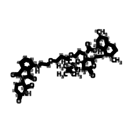 C[C@H]1C=C2C=C[C@H](C)[C@H](CC[C@@H]3C[C@@H](O[Si](C)(C)C(C)(C)C)CC(=O)O3)[C@H]2[C@@H](OC(=O)NCCOCCCOCCNc2cccc3c2C(=O)N(C2CCC(=O)NC2=O)C3=O)C1